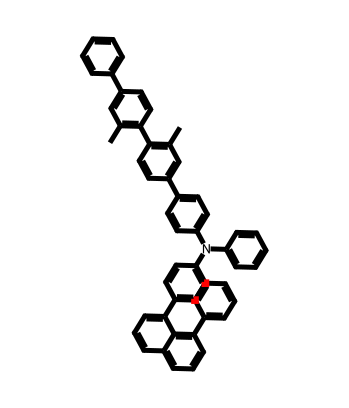 Cc1cc(-c2ccccc2)ccc1-c1ccc(-c2ccc(N(c3ccccc3)c3ccc(-c4cccc5cccc(-c6ccccc6)c45)cc3)cc2)cc1C